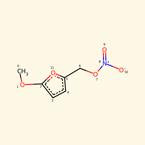 COc1ccc(CO[N+](=O)[O-])o1